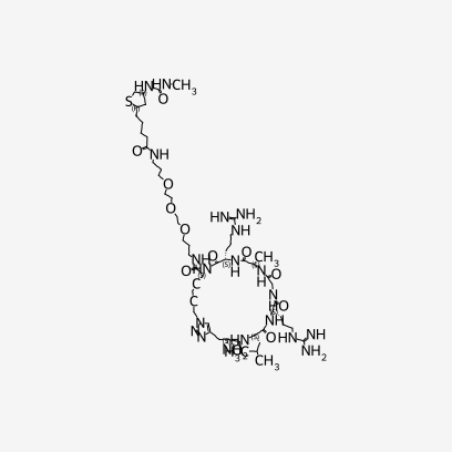 CNC(=O)N[C@@H]1CS[C@H](CCCCC(=O)NCCCOCCOCCOCCCNC(=O)[C@@H]2CCCCn3cc(nn3)C[C@H](N)C(=O)N[C@@H](CC(C)C)C(=O)N[C@@H](CCCNC(=N)N)C(=O)NCC(=O)N[C@@H](C)C(=O)N[C@@H](CCCNC(=N)N)C(=O)N2)C1